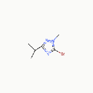 CC(C)c1nc(Br)n(C)n1